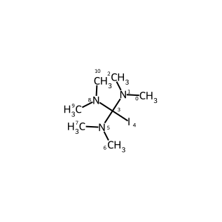 CN(C)C(I)(N(C)C)N(C)C